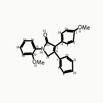 COc1ccc(C2=C(c3ccccc3)CN(c3ccccc3OC)C2=O)cc1